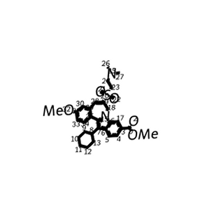 COC(=O)c1ccc2c(C3CCCCC3)c3n(c2c1)CC(S(=O)(=O)CCN(C)C)=Cc1cc(OC)ccc1-3